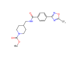 CC(C)(C)OC(=O)N1CCC(CNC(=O)c2ccc(-c3noc(C(F)(F)F)n3)cc2)CC1